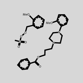 COc1ccccc1COOS(C)(=O)=O.COc1ccccc1N1CCN(CCCOC(=O)c2ccccc2)CC1